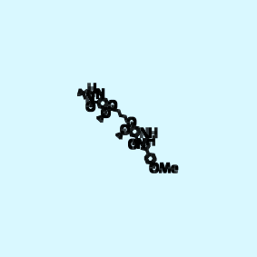 COc1ccc(C2=CN3C(=O)c4cc(OC5CC5)c(OCCCCCOc5cc6c(cc5OC5CC5)C(=O)N5CC7(CC7)C[C@H]5C=N6)cc4NC[C@@H]3C2)cc1